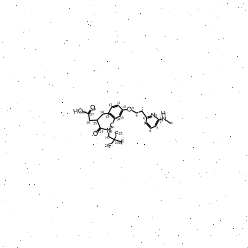 CNc1cccc(CCOc2ccc3c(c2)CN(CC(F)(F)F)C(=O)C(CC(=O)O)C3)n1